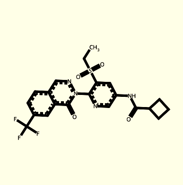 CCS(=O)(=O)c1cc(NC(=O)C2CCC2)cnc1-n1ncc2ccc(C(F)(F)F)cc2c1=O